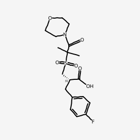 CC(C)(C(=O)N1CCOCC1)S(=O)(=O)C[C@@H](Cc1ccc(F)cc1)C(=O)O